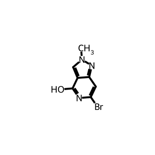 Cn1cc2c(O)nc(Br)cc2n1